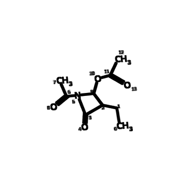 CCC1C(=O)N(C(C)=O)C1OC(C)=O